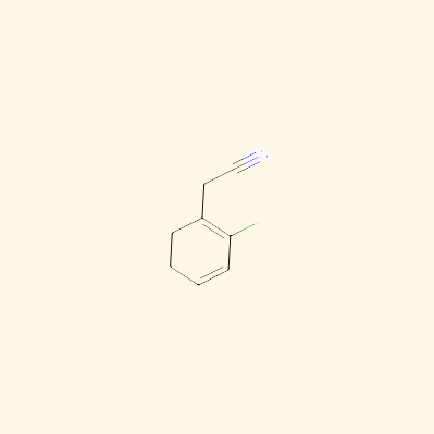 N#CCC1=C(F)C=C[CH]C1